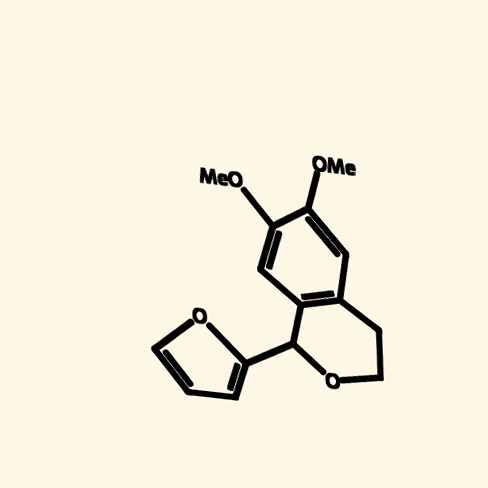 COc1cc2c(cc1OC)C(c1ccco1)OCC2